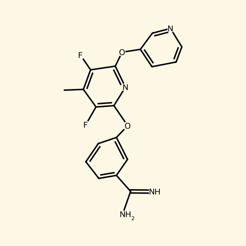 Cc1c(F)c(Oc2cccnc2)nc(Oc2cccc(C(=N)N)c2)c1F